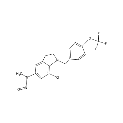 CN(N=O)c1cc(Cl)c2c(c1)CCN2Cc1ccc(OC(F)(F)F)cc1